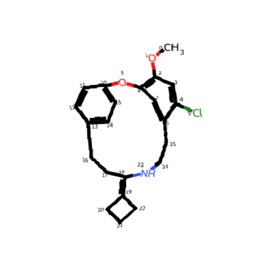 COc1cc(Cl)c2cc1Oc1ccc(cc1)CCC(=C1CCC1)NCC2